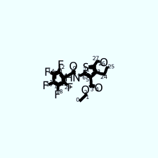 CCOC(=O)c1c(NC(=O)c2c(F)c(F)c(F)c(F)c2F)sc2c1CCOC2